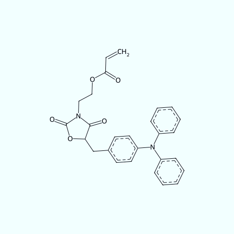 C=CC(=O)OCCN1C(=O)OC(Cc2ccc(N(c3ccccc3)c3ccccc3)cc2)C1=O